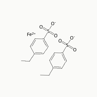 CCc1ccc(S(=O)(=O)[O-])cc1.CCc1ccc(S(=O)(=O)[O-])cc1.[Fe+2]